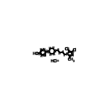 Cc1nc(Cl)c(Cl)n1CCCCN1CCN(c2ncc(O)cn2)CC1.Cl